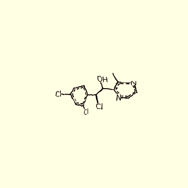 Cc1nccnc1C(O)C(Cl)c1ccc(Cl)cc1Cl